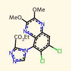 CCOC(=O)c1nncn1-c1c(Cl)c(Cl)cc2nc(OC)c(OC)nc12